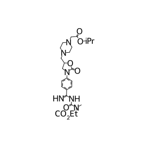 CCOC(=O)N(C)C(=O)NC(=N)c1ccc(N2CC(CN3CCN(CC(=O)OC(C)C)CC3)OC2=O)cc1